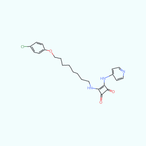 O=c1c(NCCCCCCCCOc2ccc(Cl)cc2)c(Nc2ccncc2)c1=O